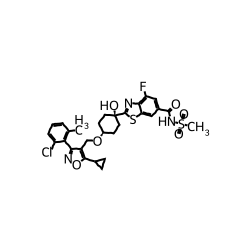 Cc1cccc(Cl)c1-c1noc(C2CC2)c1CO[C@H]1CC[C@](O)(c2nc3c(F)cc(C(=O)NS(C)(=O)=O)cc3s2)CC1